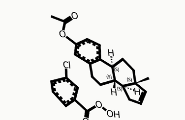 CC(=O)Oc1ccc2c(c1)CC[C@@H]1[C@@H]2CC[C@]2(C)C=CC[C@@H]12.O=C(OO)c1cccc(Cl)c1